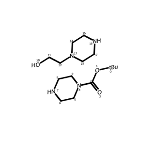 CC(C)(C)OC(=O)N1CCNCC1.OCCN1CCNCC1